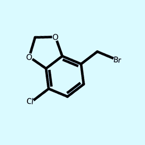 Clc1ccc(CBr)c2c1OCO2